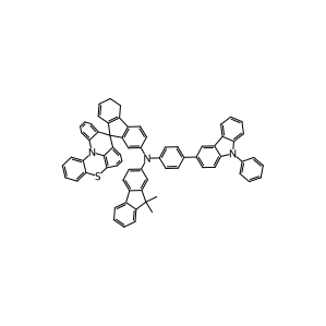 CC1(C)c2ccccc2-c2ccc(N(c3ccc(-c4ccc5c(c4)c4ccccc4n5-c4ccccc4)cc3)c3ccc4c(c3)C3(C5=C4CCC=C5)c4ccccc4N4c5ccccc5Sc5cccc3c54)cc21